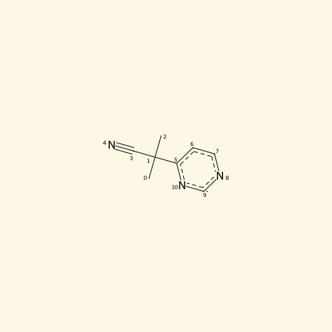 CC(C)(C#N)c1ccn[c]n1